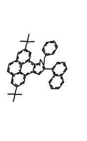 CC(C)(C)c1cc2ccc3cc(C(C)(C)C)cc4c3c2c(c1)c1cc(-c2cccc3ccccc23)n(-c2ccccc2)c14